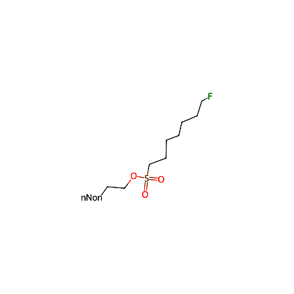 CCCCCCCCCCCOS(=O)(=O)CCCCCCCF